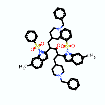 Cc1ccc2cc(C(CC3CCN(Cc4ccccc4)CC3)C(=O)C(CC3CCN(Cc4ccccc4)CC3)c3cc4ccc(C)cc4n3S(=O)(=O)c3ccccc3)n(S(=O)(=O)c3ccccc3)c2c1